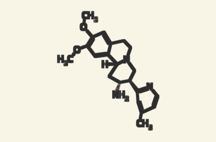 COc1cc2c(cc1OC)[C@H]1C[C@@H](N)[C@H](c3cc(C)ccn3)CN1CC2